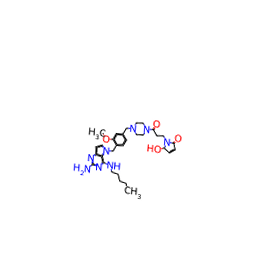 CCCCCNc1nc(N)nc2ccn(Cc3ccc(CN4CCN(C(=O)CCN5C(=O)C=CC5O)CC4)cc3OC)c12